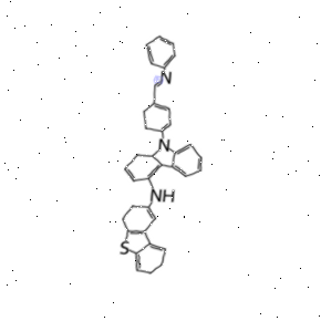 C1=CC(NC2=Cc3c(sc4c3=CCCC=4)CC2)=C2c3ccccc3N(C3=CC=C(/C=N/c4ccccc4)CC3)C2C1